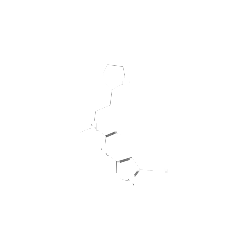 CN(CCC1OCCO1)C(=O)Nc1cc(C(C)(C)C)no1